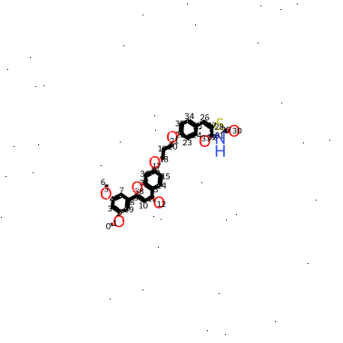 COc1cc(OC)cc(-c2cc(=O)c3ccc(OCCCOc4ccc(C=C5SC(=O)NC5=O)cc4)cc3o2)c1